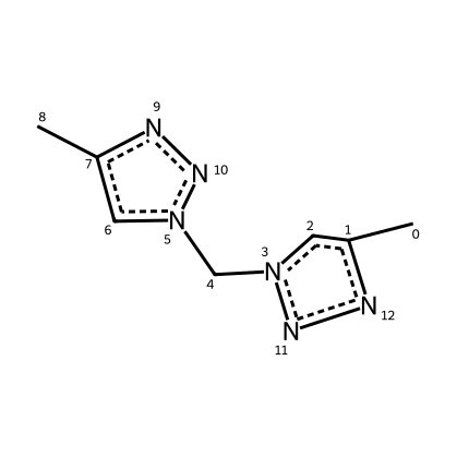 Cc1cn(Cn2cc(C)nn2)nn1